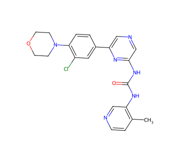 Cc1ccncc1NC(=O)Nc1cncc(-c2ccc(N3CCOCC3)c(Cl)c2)n1